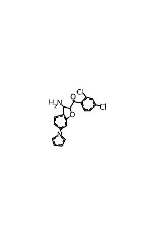 NC1c2ccc(-n3cccc3)cc2OC1C(=O)c1ccc(Cl)cc1Cl